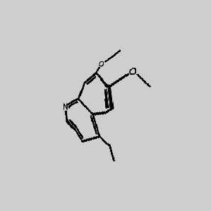 CCc1ccnc2cc(OC)c(OC)cc12